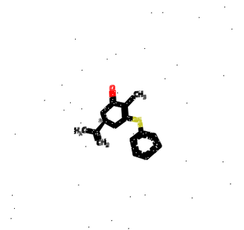 C=C(C)[C@H]1CC(=O)C(C)=C(Sc2ccccc2)C1